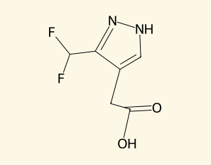 O=C(O)Cc1c[nH]nc1C(F)F